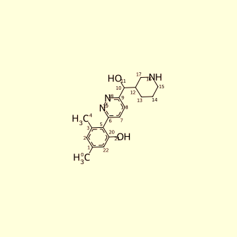 Cc1cc(C)c(-c2ccc(C(O)C3CCCNC3)nn2)c(O)c1